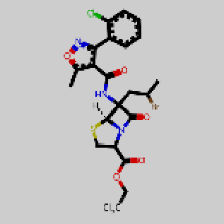 Cc1onc(-c2ccccc2Cl)c1C(=O)NC1(CC(C)Br)C(=O)N2C(C(=O)OCC(Cl)(Cl)Cl)CS[C@H]21